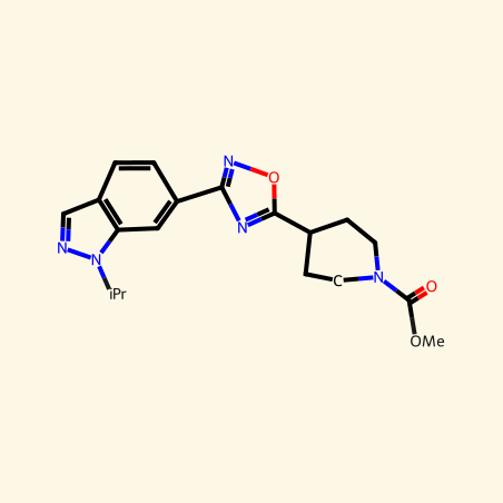 COC(=O)N1CCC(c2nc(-c3ccc4cnn(C(C)C)c4c3)no2)CC1